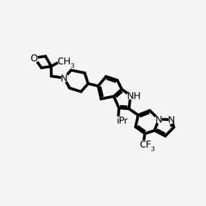 CC(C)c1c(-c2cc(C(F)(F)F)c3ccnn3c2)[nH]c2ccc(C3CCN(CC4(C)COC4)CC3)cc12